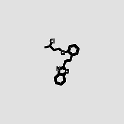 CC(Cl)CCOc1ccccc1C=Cc1nc2ccccc2o1